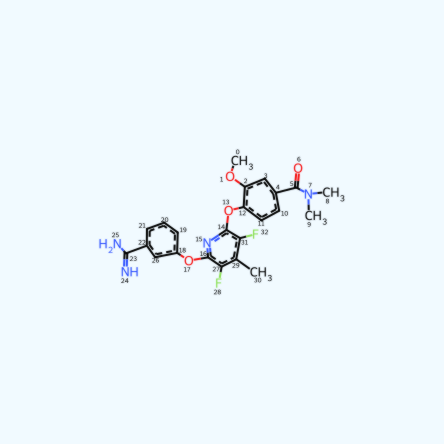 COc1cc(C(=O)N(C)C)ccc1Oc1nc(Oc2cccc(C(=N)N)c2)c(F)c(C)c1F